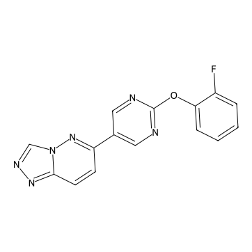 Fc1ccccc1Oc1ncc(-c2ccc3nncn3n2)cn1